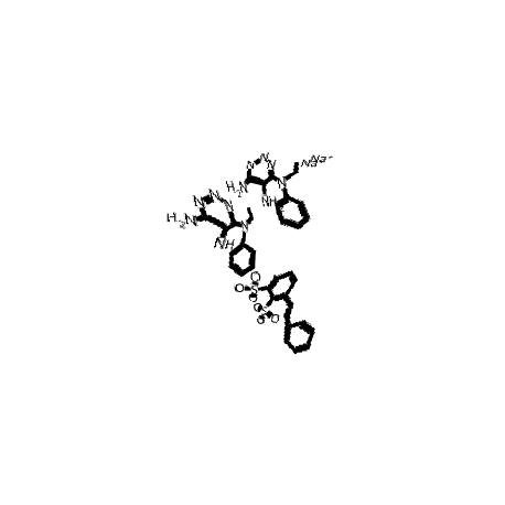 CCN(c1ccccc1)c1nnnc(N)c1N.CCN(c1ccccc1)c1nnnc(N)c1N.O=S(=O)([O-])c1cccc(C=Cc2ccccc2)c1S(=O)(=O)[O-].[Na+].[Na+]